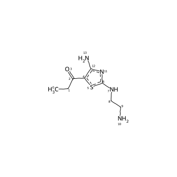 CCC(=O)c1sc(NCCN)nc1N